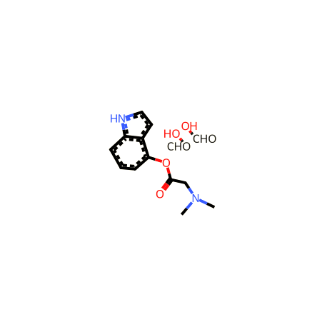 CN(C)CC(=O)Oc1cccc2[nH]ccc12.O=CO.O=CO